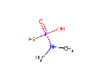 CN(C)P(=O)(O)S